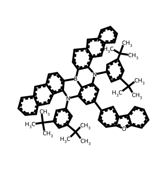 CC(C)(C)c1cc(N2c3cc(-c4ccc5oc6ccccc6c5c4)cc4c3B(c3ccc5cc6ccccc6cc5c32)c2ccc3cc5ccccc5cc3c2N4c2cc(C(C)(C)C)cc(C(C)(C)C)c2)cc(C(C)(C)C)c1